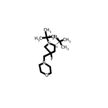 CC(C)(C)[C@@H]1CC(F)(CN2CCOCC2)CN1C(C)(C)C